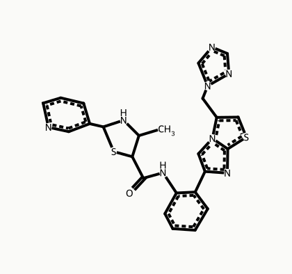 CC1NC(c2cccnc2)SC1C(=O)Nc1ccccc1-c1cn2c(Cn3cncn3)csc2n1